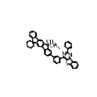 CC1(C)c2cc(-c3cccc(-c4nc(-c5ccccc5)nc5c4sc4ccccc45)c3)ccc2-c2cc3c(cc21)-c1ccccc1C31CCCCC1